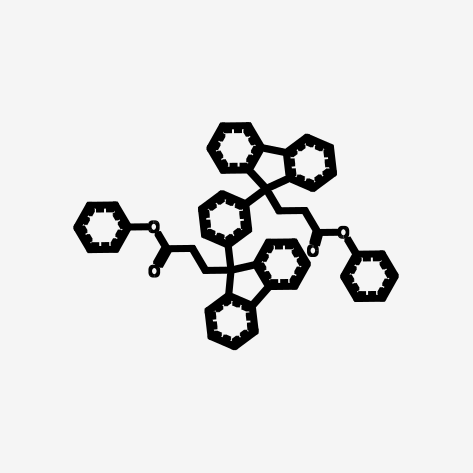 O=C(CCC1(c2cccc(C3(CCC(=O)Oc4ccccc4)c4ccccc4-c4ccccc43)c2)c2ccccc2-c2ccccc21)Oc1ccccc1